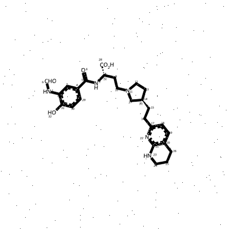 O=CNc1cc(C(=O)N[C@@H](CCN2CC[C@@H](CCc3ccc4c(n3)NCCC4)C2)C(=O)O)ccc1O